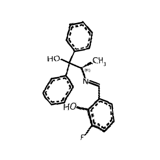 C[C@@H](N=Cc1cccc(F)c1O)C(O)(c1ccccc1)c1ccccc1